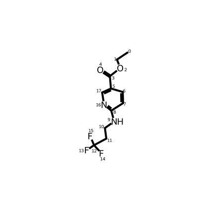 CCOC(=O)c1ccc(NCCC(F)(F)F)nc1